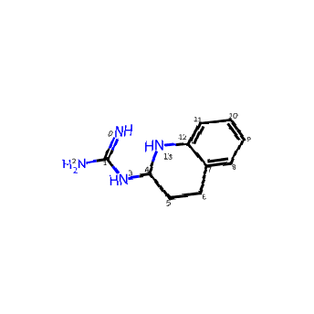 N=C(N)NC1CCc2ccccc2N1